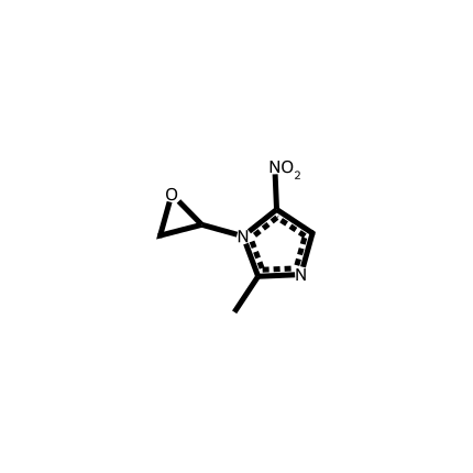 Cc1ncc([N+](=O)[O-])n1C1CO1